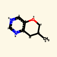 CC1COc2cncnc2C1